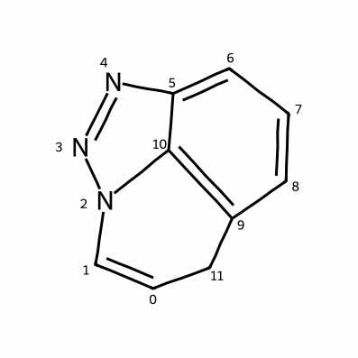 C1=Cn2nnc3cccc(c32)C1